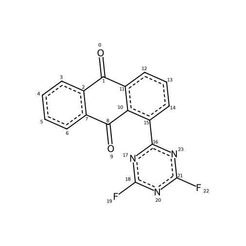 O=C1c2ccccc2C(=O)c2c1cccc2-c1nc(F)nc(F)n1